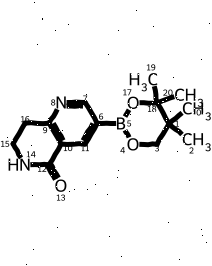 CC1(C)COB(c2cnc3c(c2)C(=O)NCC3)OC1(C)C